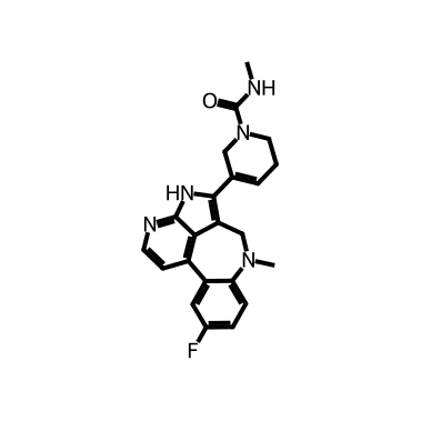 CNC(=O)N1CCC=C(c2[nH]c3nccc4c3c2CN(C)c2ccc(F)cc2-4)C1